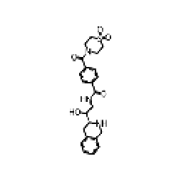 O=C(NCC(O)[C@@H]1Cc2ccccc2CN1)c1ccc(C(=O)N2CCS(=O)(=O)CC2)cc1